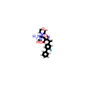 C=NC(N)(c1onc(C(C)c2ccc(-c3ccccc3)c(F)c2)c1CO)N1CCOCC1